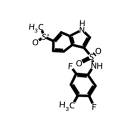 Cc1cc(F)c(NS(=O)(=O)c2c[nH]c3cc([S+](C)[O-])ccc23)cc1F